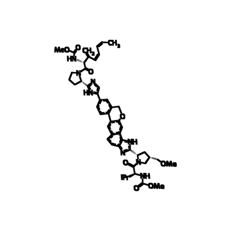 C=C(/C=C\C=C/C)[C@@H](NC(=O)OC)C(=O)N1CCC[C@H]1c1ncc(-c2ccc3c(c2)COc2cc4c(ccc5nc([C@@H]6C[C@H](COC)CN6C(=O)[C@@H](NC(=O)OC)C(C)C)[nH]c54)cc2-3)[nH]1